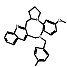 COc1ccc2c(c1)N1CCCC1Cc1nc3ccccc3cc1CN2Cc1ccc(C)cc1